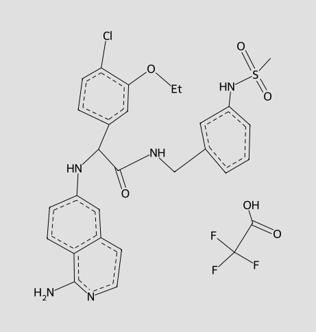 CCOc1cc(C(Nc2ccc3c(N)nccc3c2)C(=O)NCc2cccc(NS(C)(=O)=O)c2)ccc1Cl.O=C(O)C(F)(F)F